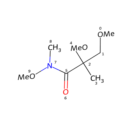 COCC(C)(OC)C(=O)N(C)OC